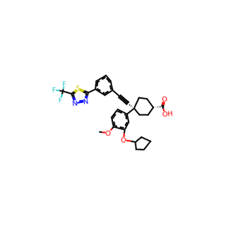 COc1ccc([C@]2(C#Cc3cccc(-c4nnc(C(F)(F)F)s4)c3)CC[C@@H](C(=O)O)CC2)cc1OC1CCCC1